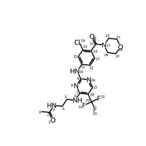 CC(=O)NCCNc1nc(Nc2ccc(C(=O)N3CCOCC3)c(Cl)c2)ncc1C(F)(F)F